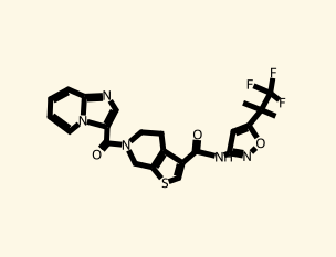 CC(C)(c1cc(NC(=O)c2csc3c2CCN(C(=O)c2cnc4ccccn24)C3)no1)C(F)(F)F